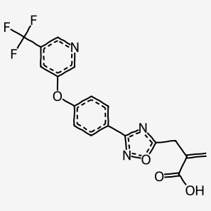 C=C(Cc1nc(-c2ccc(Oc3cncc(C(F)(F)F)c3)cc2)no1)C(=O)O